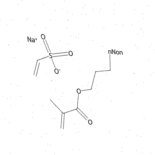 C=C(C)C(=O)OCCCCCCCCCCCC.C=CS(=O)(=O)[O-].[Na+]